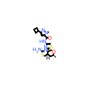 C[C@H]1C[C@H]2CSC(N)=N[C@@]2(c2nc(NC(=O)c3cc(C4CCC4)nn3C)cs2)CO1